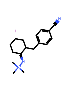 C[N+](C)(C)/N=C1\CCCCC1Cc1ccc(C#N)cc1.[I-]